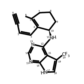 C#C/C=C\C1=C(C)CCC[C@H]1Nc1ncnc2[nH]cc(C(F)(F)F)c12